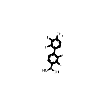 Cc1ccc(-c2ccc(B(O)O)c(F)c2F)c(F)c1F